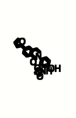 CS(=O)(=O)Nc1cc(N2CCc3cc(-c4ccco4)ccc3C2=O)ccc1O